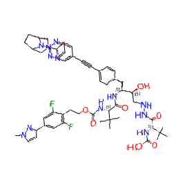 Cn1ccc(-c2cc(F)c(CCOC(=O)N[C@H](C(=O)N[C@@H](Cc3ccc(C#Cc4ccc(N5CC6CCC(C5)N6c5ncccn5)nc4)cc3)[C@@H](O)CNNC(=O)[C@@H](NC(=O)O)C(C)(C)C)C(C)(C)C)c(F)c2)n1